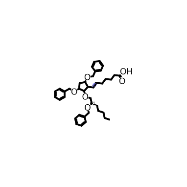 CCCCC[C@H](COC1C(OCc2ccccc2)CC(OCc2ccccc2)C1/C=C/CCCCC(=O)O)OCc1ccccc1